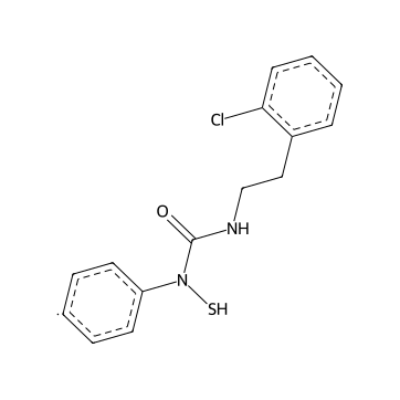 O=C(NCCc1ccccc1Cl)N(S)c1cc[c]cc1